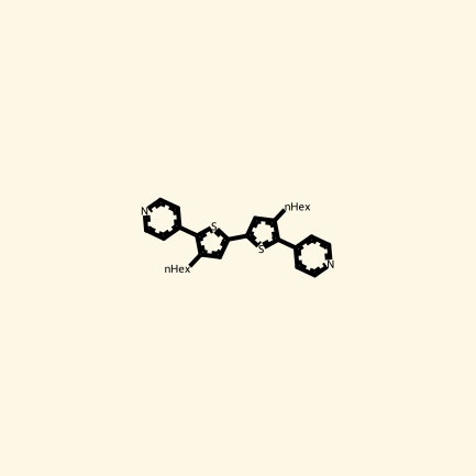 CCCCCCc1cc(-c2cc(CCCCCC)c(-c3ccncc3)s2)sc1-c1ccncc1